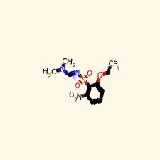 CN(C)/C=N/S(=O)(=O)c1c(OCC(F)(F)F)cccc1[N+](=O)[O-]